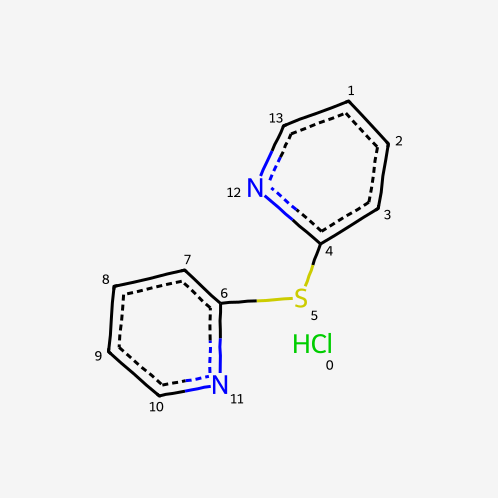 Cl.c1ccc(Sc2ccccn2)nc1